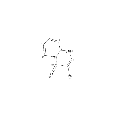 CC(=O)C1=CNC2C=CC=CC2C1=O